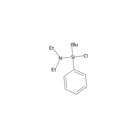 CCN(CC)[Si](Cl)(c1ccccc1)C(C)(C)C